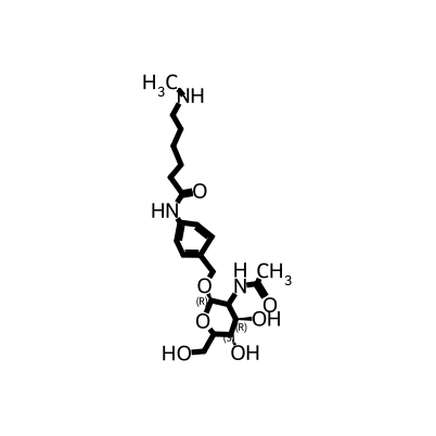 CNCCCCCC(=O)Nc1ccc(CO[C@@H]2OC(CO)[C@@H](O)[C@H](O)C2NC(C)=O)cc1